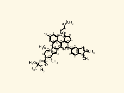 COCCOc1cc(F)cc(F)c1-c1c(-c2cc3n(n2)[C@@H](C)CN(C(=O)OC(C)(C)C)[C@@H]3C)nc(-c2ccc3c(c2)nc(C)n3C)c2c1C(=O)CC2